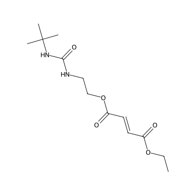 CCOC(=O)/C=C/C(=O)OCCNC(=O)NC(C)(C)C